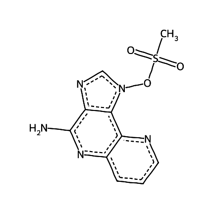 CS(=O)(=O)On1cnc2c(N)nc3cccnc3c21